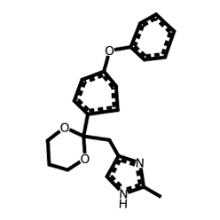 Cc1nc(CC2(c3ccc(Oc4ccccc4)cc3)OCCCO2)c[nH]1